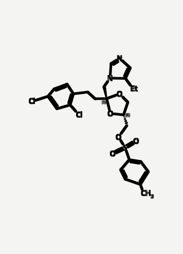 CCc1cncn1C[C@@]1(CCc2ccc(Cl)cc2Cl)OC[C@H](COS(=O)(=O)c2ccc(C)cc2)O1